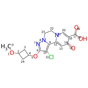 COC1CC(Oc2nn3c(c2Cl)-c2cc(=O)c(C(=O)O)cn2CC3)C1